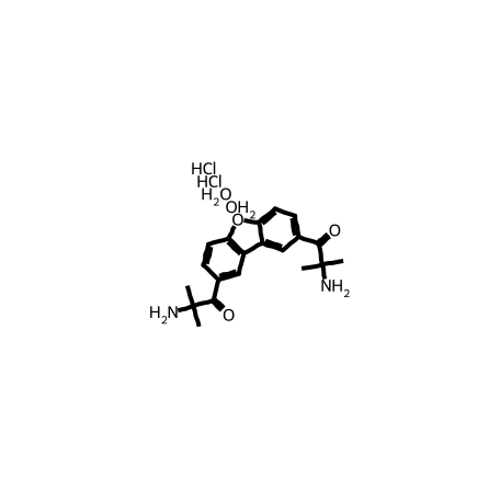 CC(C)(N)C(=O)c1ccc2oc3ccc(C(=O)C(C)(C)N)cc3c2c1.Cl.Cl.O.O